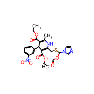 CCOC(=O)C1=C(C)NC(CSC(OC=O)n2ccnc2)=C(C(=O)OCC)C1c1cccc([N+](=O)[O-])c1